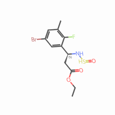 CCOC(=O)C[C@H](N[SH]=O)c1cc(Br)cc(C)c1F